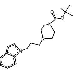 CC(C)(C)OC(=O)N1CCN(CCCn2ccc3ccccc32)CC1